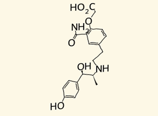 C[C@H](NCCc1ccc(OCC(=O)O)c(C(N)=O)c1)[C@H](O)c1ccc(O)cc1